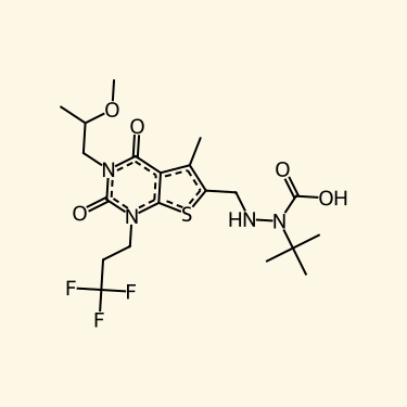 COC(C)Cn1c(=O)c2c(C)c(CNN(C(=O)O)C(C)(C)C)sc2n(CCC(F)(F)F)c1=O